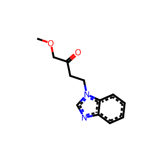 COCC(=O)CCn1cnc2ccccc21